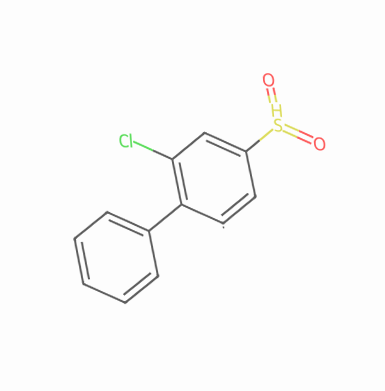 O=[SH](=O)c1c[c]c(-c2ccccc2)c(Cl)c1